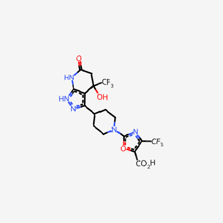 O=C1CC(O)(C(F)(F)F)c2c(C3CCN(c4nc(C(F)(F)F)c(C(=O)O)o4)CC3)n[nH]c2N1